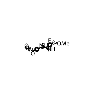 COCCOc1cc2[nH]nc(-c3cc(-c4ccc(C(=O)N5CC6(CCOC6)C5)cc4)no3)c2cc1F